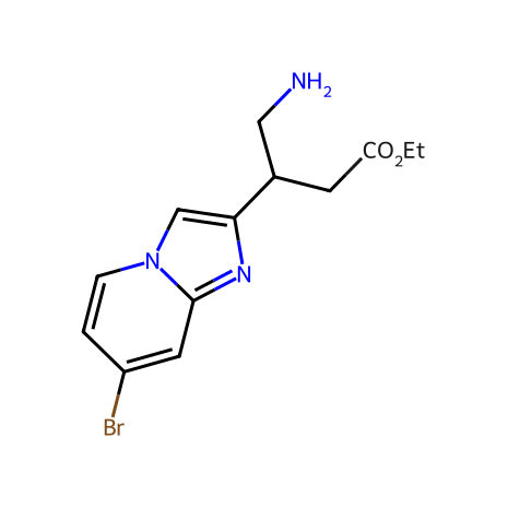 CCOC(=O)CC(CN)c1cn2ccc(Br)cc2n1